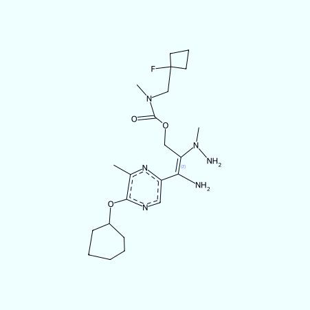 Cc1nc(/C(N)=C(\COC(=O)N(C)CC2(F)CCC2)N(C)N)cnc1OC1CCCCC1